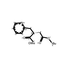 COC(=O)[C@@H](CC(=O)OC(C)(C)C)Cc1ccccn1